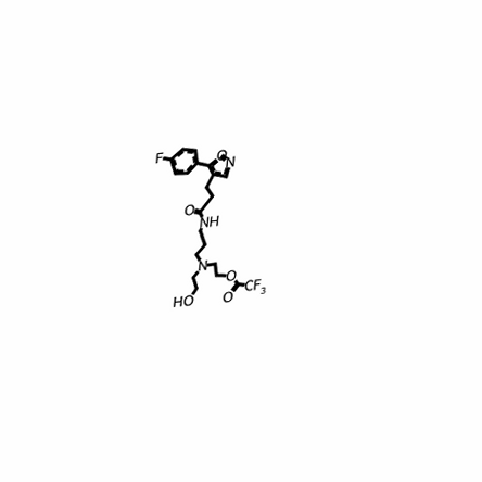 O=C(CCc1cnoc1-c1ccc(F)cc1)NCCCN(CCO)CCOC(=O)C(F)(F)F